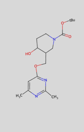 Cc1cc(OCC2CN(C(=O)OC(C)(C)C)CCC2O)nc(C)n1